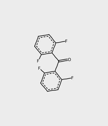 O=C(c1c(F)cccc1F)c1c(F)cccc1F